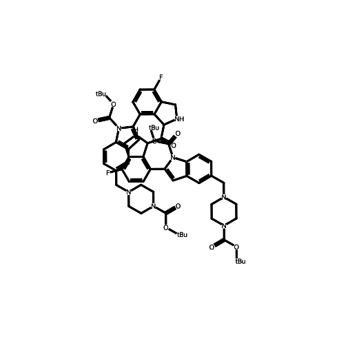 CC(C)(C)OC(=O)N1CCN(Cc2ccc3c(c2)cc(-c2ccc(F)c4c2C(C(=O)C2NCc5c(F)ccc(-c6cc7cc(CN8CCN(C(=O)OC(C)(C)C)CC8)ccc7n6C(=O)OC(C)(C)C)c52)NC4)n3C(=O)OC(C)(C)C)CC1